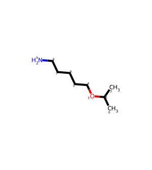 CC(C)OCCCCCN